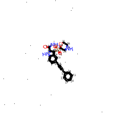 NC(=O)c1[nH]c2ccc(C#Cc3ccccc3)cc2c1S(=O)(=O)C1CNCCO1